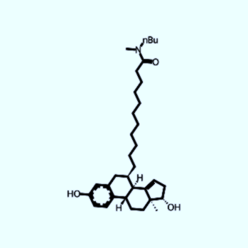 CCCCN(C)C(=O)CCCCCCCCCC[C@@H]1Cc2cc(O)ccc2[C@H]2CC[C@@]3(C)C(=CC[C@@H]3O)[C@H]12